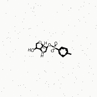 Cc1ccc(S(=O)(=O)OC2CNC3C(O)CO[C@@H]23)cc1